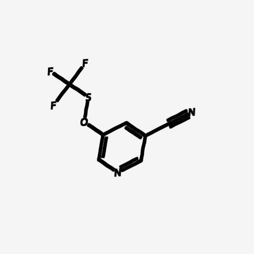 N#Cc1cncc(OSC(F)(F)F)c1